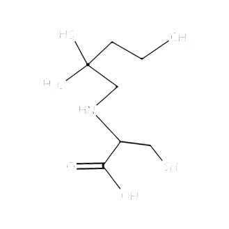 CCCC(C)(S)CNC(CS)C(=O)O